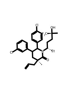 C=CC[C@@]1(C)CC(c2cccc(Cl)c2)C(c2ccc(Cl)cc2)N([C@@H](CC)CC[C@@](C)(O)C(F)(F)F)C1=O